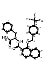 O=C(NC(Cc1ccccc1)C(=O)O)c1ccc2ccccc2c1OCc1ccc(C(F)(F)F)cc1